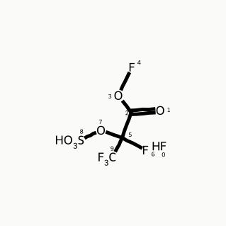 F.O=C(OF)C(F)(OS(=O)(=O)O)C(F)(F)F